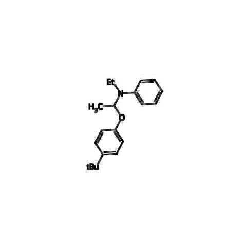 CCN(c1ccccc1)C(C)Oc1ccc(C(C)(C)C)cc1